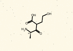 C[C@@H](N)C(=O)C(CCO)C(=O)O